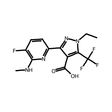 CCn1nc(-c2ccc(F)c(NC)n2)c(C(=O)O)c1C(F)(F)F